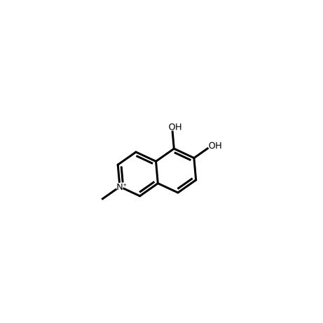 C[n+]1ccc2c(O)c(O)ccc2c1